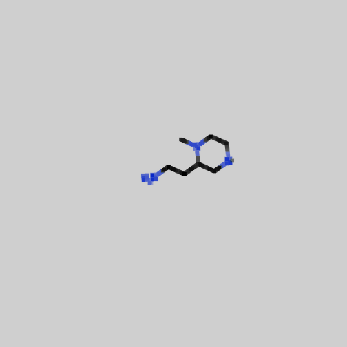 CN1CC[N]CC1CCN